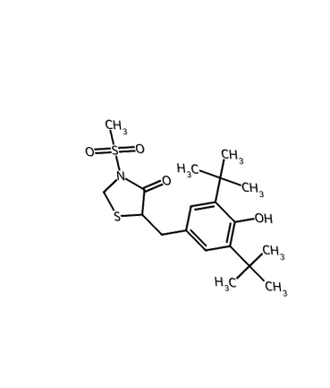 CC(C)(C)c1cc(CC2SCN(S(C)(=O)=O)C2=O)cc(C(C)(C)C)c1O